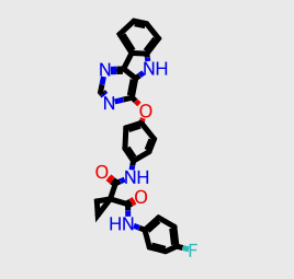 O=C(Nc1ccc(F)cc1)C1(C(=O)Nc2ccc(Oc3ncnc4c3[nH]c3ccccc34)cc2)CC1